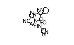 CC(=O)N(c1c(C#N)cnn1-c1nn2c(c1Cl)CCCC2)C(C)C(=O)Nc1cnn(C)c1